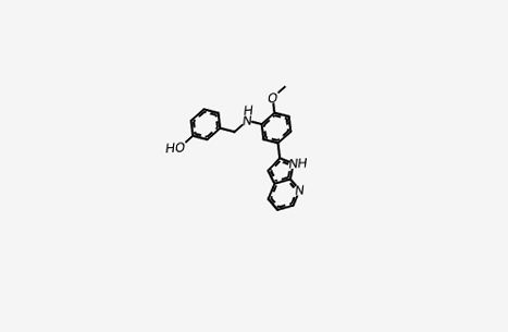 COc1ccc(-c2cc3cccnc3[nH]2)cc1NCc1cccc(O)c1